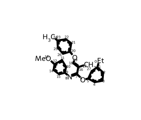 CCc1cccc(OC(=N/c2ccc(OC)cc2)/C(C)=C/Oc2ccc(C)cc2)c1